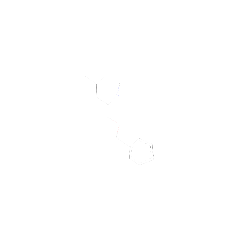 CN[C@H](COCc1ccccc1)CC(C)C